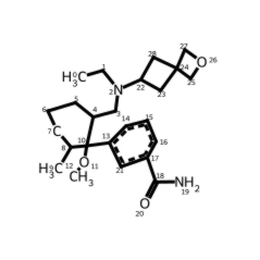 CCN(CC1CCCC(C)C1(OC)c1cccc(C(N)=O)c1)C1CC2(COC2)C1